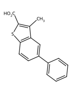 Cc1c(C(=O)O)sc2ccc(-c3ccccc3)cc12